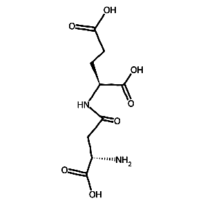 N[C@@H](CC(=O)N[C@@H](CCC(=O)O)C(=O)O)C(=O)O